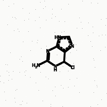 NC1=Nc2[nH]cnc2C(Cl)N1